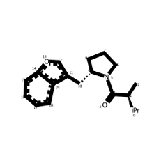 CC(C)[C@H](C)C(=O)N1CCC[C@H]1Cc1coc2ccccc12